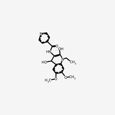 CCN1C(O)=C(NC(=O)c2ccncc2)C(O)c2cc(OC)c(OC)cc21